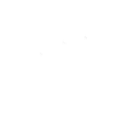 N#Cc1ccc(OC(F)F)cc1Nc1cccnc1Cl